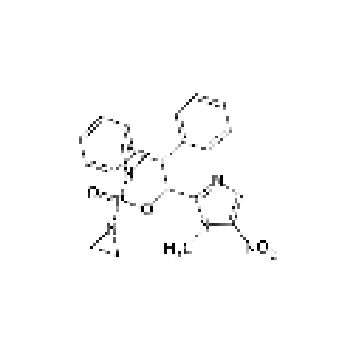 Cn1c([N+](=O)[O-])cnc1C(OP(=O)(N1CC1)N1CC1)C(c1ccccc1)c1ccccc1